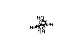 OCC(O)C1OC(O)CC(O)C1O